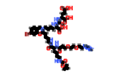 CC(C)(C)OC(=O)NCCCC[C@H](NC(=O)CCOCCOCCN=[N+]=[N-])C(=O)NCCCCC(=O)N(CCCC[C@H](NC(=O)N[C@@H](CCC(=O)O)C(=O)O)C(=O)O)Cc1ccc(Br)cc1